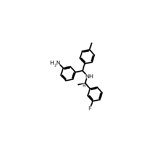 Cc1ccc(C(N[C@H](C)c2cccc(F)c2)c2cccc(N)c2)cc1